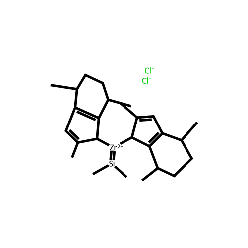 CC1=CC2=C(C(C)CCC2C)[CH]1[Zr+2]([CH]1C(C)=CC2=C1C(C)CCC2C)=[Si](C)C.[Cl-].[Cl-]